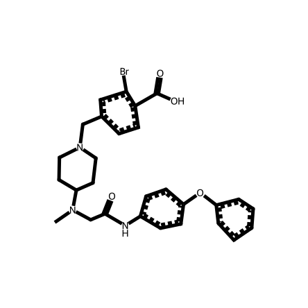 CN(CC(=O)Nc1ccc(Oc2ccccc2)cc1)C1CCN(Cc2ccc(C(=O)O)c(Br)c2)CC1